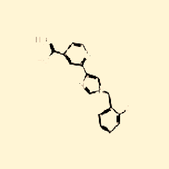 C=C(O)c1ccnc(-c2cn(Cc3ccccc3Cl)cn2)c1